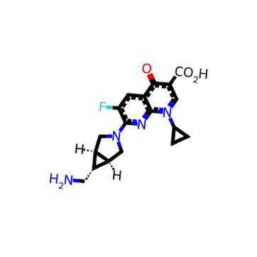 NC[C@@H]1[C@H]2CN(c3nc4c(cc3F)c(=O)c(C(=O)O)cn4C3CC3)C[C@@H]12